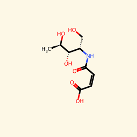 C[C@@H](O)[C@@H](O)[C@H](CO)NC(=O)/C=C\C(=O)O